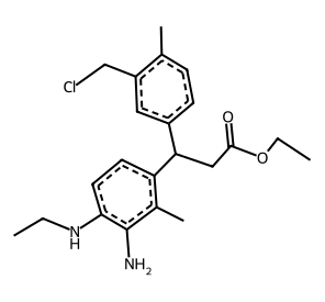 CCNc1ccc(C(CC(=O)OCC)c2ccc(C)c(CCl)c2)c(C)c1N